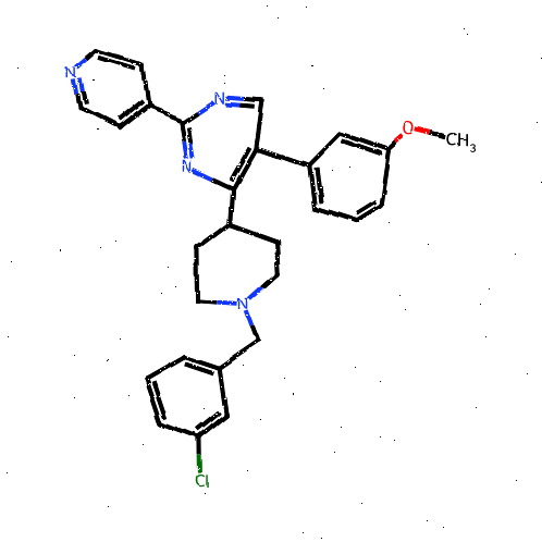 COc1cccc(-c2cnc(-c3ccncc3)nc2C2CCN(Cc3cccc(Cl)c3)CC2)c1